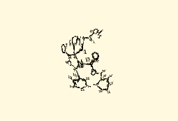 CSCC[C@@]1(C)C(=O)O[C@H](c2ccccc2)N1C(=O)OCc1ccccc1